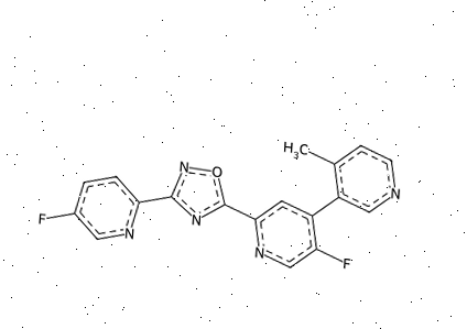 Cc1ccncc1-c1cc(-c2nc(-c3ccc(F)cn3)no2)ncc1F